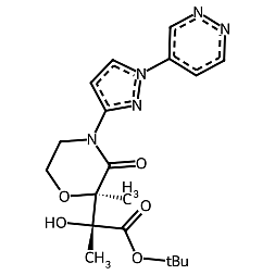 CC(C)(C)OC(=O)[C@](C)(O)[C@@]1(C)OCCN(c2ccn(-c3ccnnc3)n2)C1=O